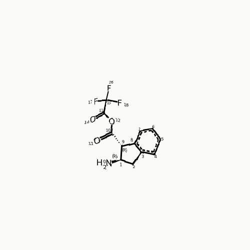 N[C@@H]1Cc2ccccc2[C@H]1C(=O)OC(=O)C(F)(F)F